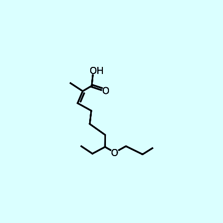 CCCOC(CC)CCCC=C(C)C(=O)O